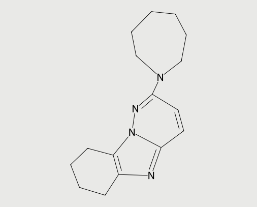 c1cc2nc3c(n2nc1N1CCCCCC1)CCCC3